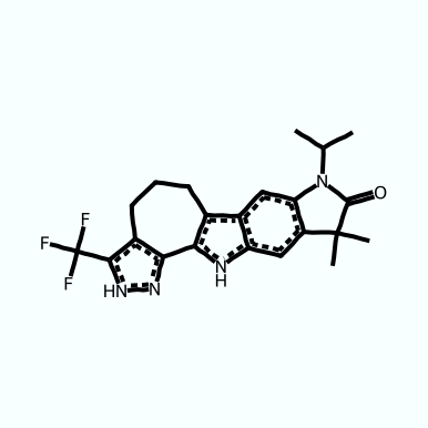 CC(C)N1C(=O)C(C)(C)c2cc3[nH]c4c(c3cc21)CCCc1c-4n[nH]c1C(F)(F)F